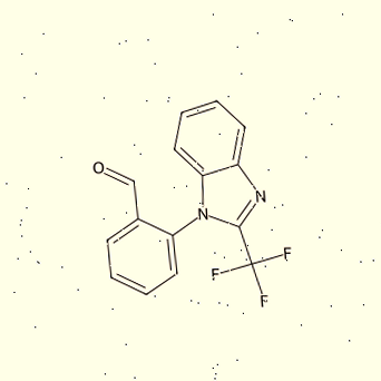 O=Cc1ccccc1-n1c(C(F)(F)F)nc2ccccc21